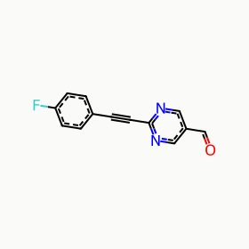 O=Cc1cnc(C#Cc2ccc(F)cc2)nc1